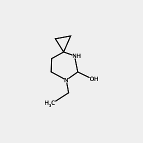 CCN1CCC2(CC2)NC1O